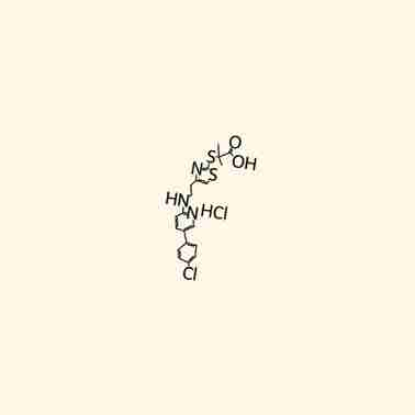 CC(C)(Sc1nc(CCNc2ccc(-c3ccc(Cl)cc3)cn2)cs1)C(=O)O.Cl